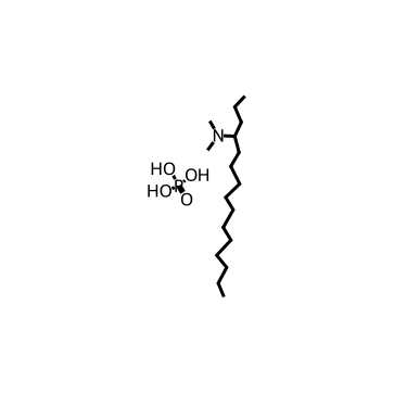 CCCCCCCCCCCC(CCC)N(C)C.O=P(O)(O)O